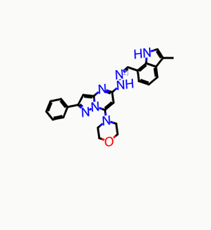 Cc1c[nH]c2c(/C=N\Nc3cc(N4CCOCC4)n4nc(-c5ccccc5)cc4n3)cccc12